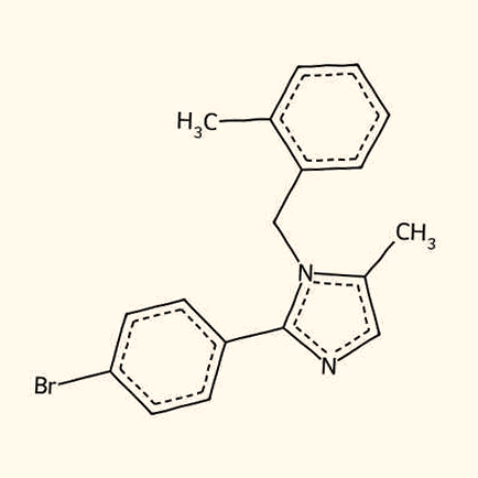 Cc1ccccc1Cn1c(C)cnc1-c1ccc(Br)cc1